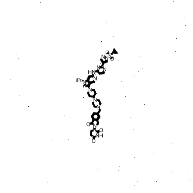 CC(C)n1nc(N2CCC(N3CCN(Cc4ccc5c(c4)CN(N4CCC(=O)NC4=O)C5=O)CC3)CC2)c2cnc(Nc3ccnc(-c4cnn(S(=O)(=O)C5CC5)c4)n3)cc21